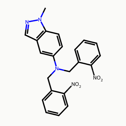 Cn1ncc2cc(N(Cc3ccccc3[N+](=O)[O-])Cc3ccccc3[N+](=O)[O-])ccc21